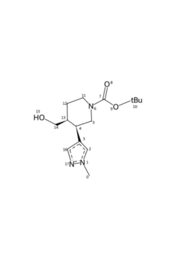 Cn1cc([C@@H]2CN(C(=O)OC(C)(C)C)CC[C@@H]2CO)cn1